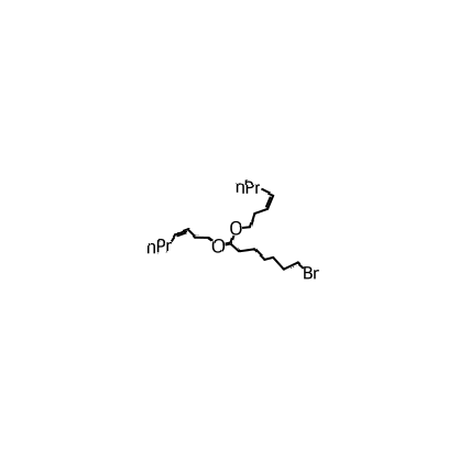 CCC/C=C\CCOC(CCCCCCBr)OCC/C=C\CCC